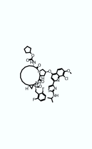 COc1ccc2c(O[C@H]3C[C@H]4C(=O)N[C@]5([PH](=O)Cc6c(F)cccc6F)C[C@H]5CCCCCCC[C@H](NC(=O)OC5CCCC5)C(=O)N4C3)cc(-c3csc(NC(C)C)n3)nc2c1Cl